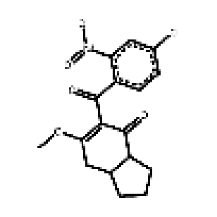 COC1=C(C(=O)c2ccc(Cl)cc2[N+](=O)[O-])C(=O)C2CCCC2C1